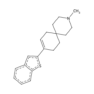 CN1CCC2(CC=C(c3cc4ccccc4s3)CC2)CC1